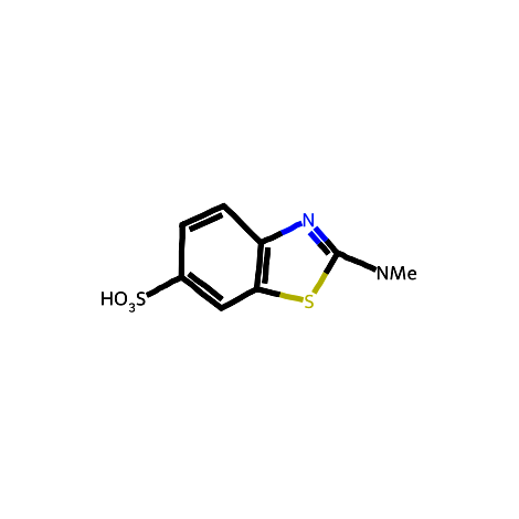 CNc1nc2ccc(S(=O)(=O)O)cc2s1